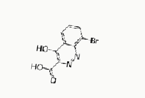 O=C(O)c1nnc2c(Br)cccc2c1O